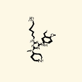 COc1ccc(Nc2nc(NCCCCCO)nc(N(C)C3CCNCC3)n2)cc1CI